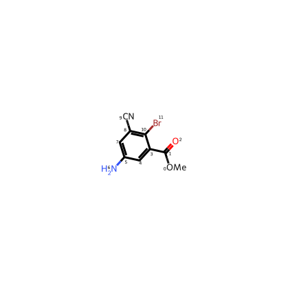 COC(=O)c1cc(N)cc(C#N)c1Br